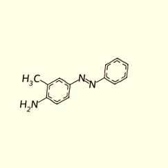 Cc1cc(N=Nc2ccccc2)ccc1N